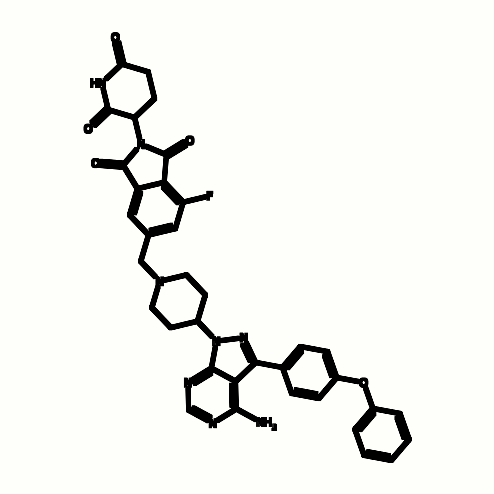 Nc1ncnc2c1c(-c1ccc(Oc3ccccc3)cc1)nn2C1CCN(Cc2cc(F)c3c(c2)C(=O)N(C2CCC(=O)NC2=O)C3=O)CC1